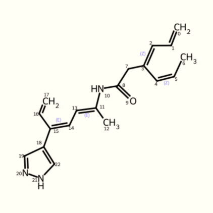 C=C/C=C(\C=C/C)CC(=O)N/C(C)=C/C=C(\C=C)c1cn[nH]c1